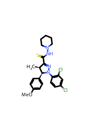 COc1ccc([C@H]2[C@@H](C)C(C(=S)NN3CCCCC3)=NN2c2ccc(Cl)cc2Cl)cc1